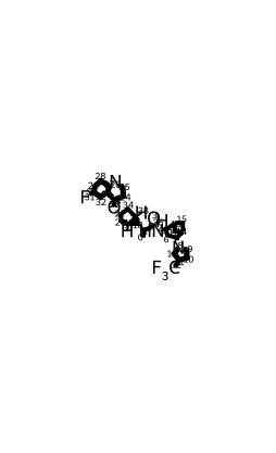 CC(C(=O)N[C@@H]1CC(n2ccc(C(F)(F)F)c2)C2CC1C2)[C@H]1[C@@H]2C[C@@H](Oc3ccnc4ccc(F)cc34)C[C@@H]21